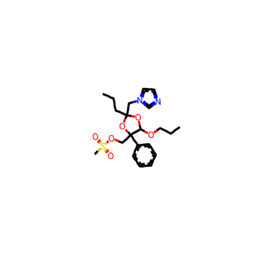 CCCOC1OC(CCC)(Cn2ccnc2)OC1(COS(C)(=O)=O)c1ccccc1